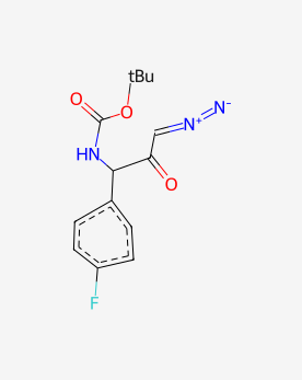 CC(C)(C)OC(=O)NC(C(=O)C=[N+]=[N-])c1ccc(F)cc1